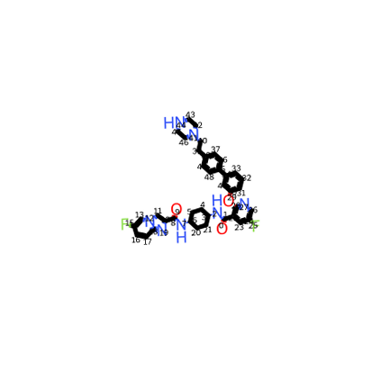 O=C(N[C@H]1CC[C@@H](NC(=O)C2CN3C=C(F)C=CC3=N2)CC1)c1cc(F)cnc1Oc1cccc(-c2ccc(CCN3CCNCC3)cc2)c1